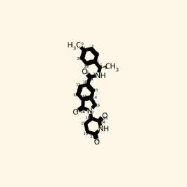 Cc1ccc([C@H](C)NC(=O)c2ccc3c(c2)CN(C2CCC(=O)NC2=O)C3=O)cc1